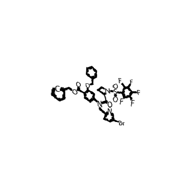 O=C(OCc1ccccc1)c1ccc(N(Cc2ccc(Br)cn2)C(=O)[C@H]2CCN2S(=O)(=O)c2c(F)c(F)c(F)c(F)c2F)cc1OCc1ccccc1